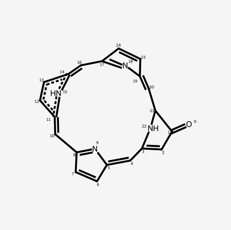 O=C1C=C2C=C3C=CC(=N3)C=c3ccc([nH]3)=CC3=NC(=CC1N2)C=C3